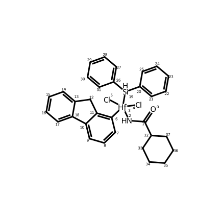 O=C([NH][Hf]([Cl])([Cl])([c]1cccc2c1Cc1ccccc1-2)[SiH](c1ccccc1)c1ccccc1)C1CCCCC1